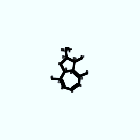 CC1=CC=CC(C)=C2C1CC(C(C)C)C2C